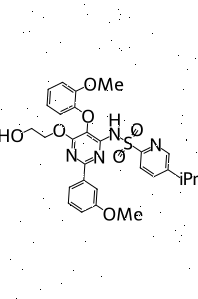 COc1cccc(-c2nc(NS(=O)(=O)c3ccc(C(C)C)cn3)c(Oc3ccccc3OC)c(OCCO)n2)c1